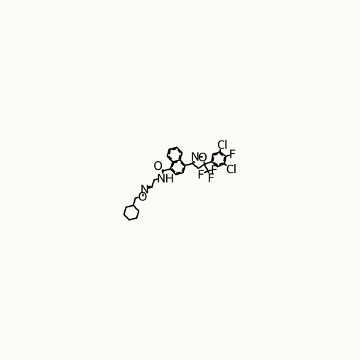 O=C(NCC=NOCC1CCCCC1)c1ccc(C2=NOC(c3cc(Cl)c(F)c(Cl)c3)(C(F)(F)F)C2)c2ccccc12